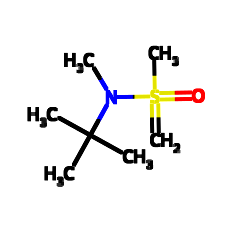 C=S(C)(=O)N(C)C(C)(C)C